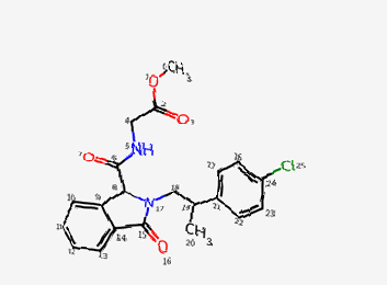 COC(=O)CNC(=O)C1c2ccccc2C(=O)N1CC(C)c1ccc(Cl)cc1